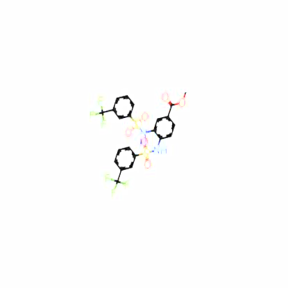 COC(=O)c1ccc(NS(=O)(=O)c2cccc(C(F)(F)F)c2)c(NS(=O)(=O)c2cccc(C(F)(F)F)c2)c1